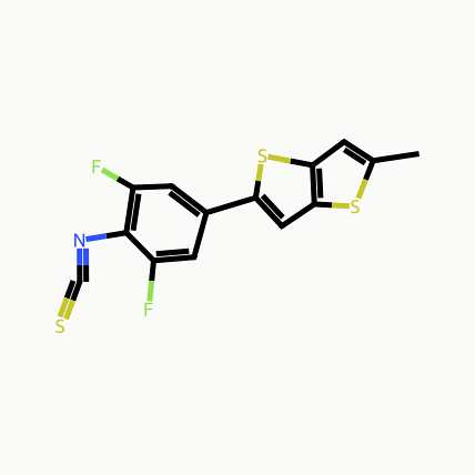 Cc1cc2sc(-c3cc(F)c(N=C=S)c(F)c3)cc2s1